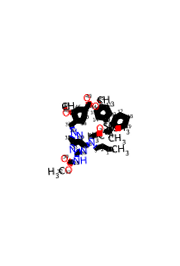 CCCCN(CCO[Si](c1ccccc1)(c1ccccc1)C(C)(C)C)c1nc(NC(=O)OC)nc2cn(Cc3ccc(C(=O)OC)cc3OC)nc12